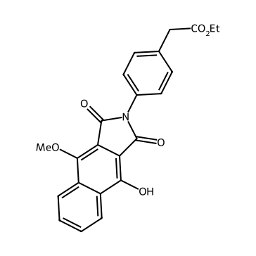 CCOC(=O)Cc1ccc(N2C(=O)c3c(c(OC)c4ccccc4c3O)C2=O)cc1